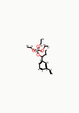 C=Cc1cccc(C(CC)O[Si](OCC)(OCC)OCC)c1